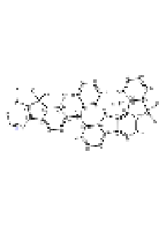 C/C=C\C1=C(CC)C(C)(C)C2C1=CC=C(N(c1ccccc1)c1cccc3c1sc1c4c(ccc13)C(C)(C)C1C=CC=C[C@H]41)[C@H]2C